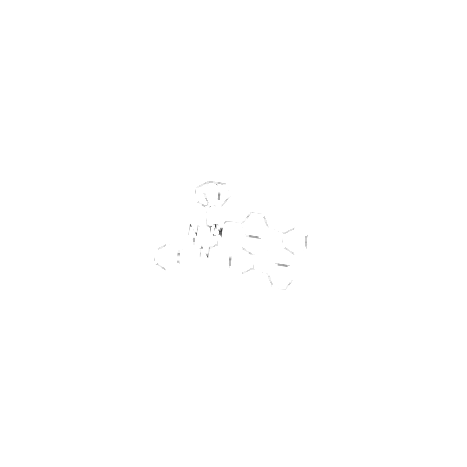 O=C(c1ccccc1)c1ccc2c(c1)C1(c3ccccc3-2)c2ccccc2-c2ccc(-c3nc(-c4ccccc4)nc(-c4ccccc4)n3)cc21